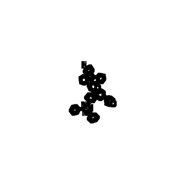 Fc1ccc2c(c1)C1(CCCCC1)c1c3c(c4ccccc4c1-2)OC(c1ccc(-c2nc(-c4ccccc4)nc(-c4ccccc4)n2)cc1)(c1ccc(N2CCOCC2)cc1)C=C3